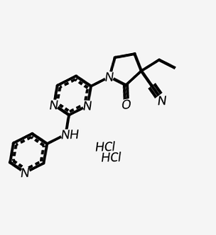 CCC1(C#N)CCN(c2ccnc(Nc3cccnc3)n2)C1=O.Cl.Cl